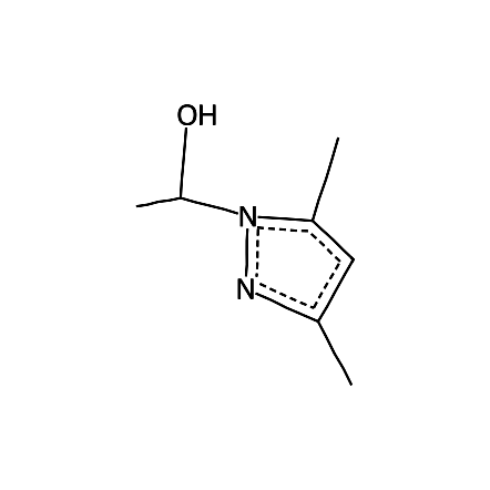 Cc1cc(C)n(C(C)O)n1